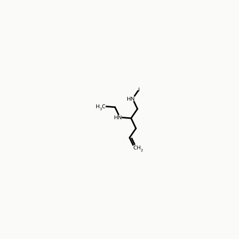 C=CCC(CNI)NCC